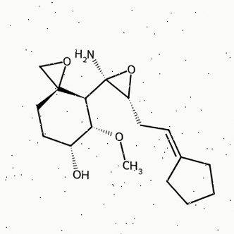 CO[C@@H]1[C@H](O)CC[C@]2(CO2)[C@H]1[C@@]1(N)O[C@@H]1CC=C1CCCC1